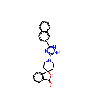 O=C1OC2(CCN(c3nc(-c4ccc5ccccc5c4)n[nH]3)CC2)c2ccccc21